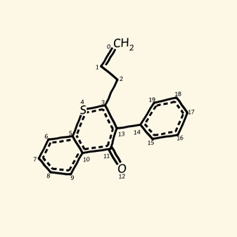 C=CCc1sc2ccccc2c(=O)c1-c1ccccc1